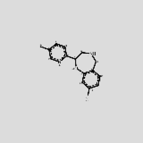 Cc1ccc(C2CNCc3ccc(Cl)cc3O2)nc1